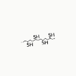 [CH2]CC(S)CCC(S)CCC(S)CCC(S)CC